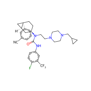 N#Cc1cccc([C@]23CC[C@@H](N(CCN4CCN(CC5CC5)CC4)C(=O)Nc4ccc(F)c(C(F)(F)F)c4)C[C@H]2C3)c1